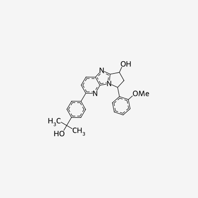 COc1ccccc1C1CC(O)c2nc3ccc(-c4ccc(C(C)(C)O)cc4)nc3n21